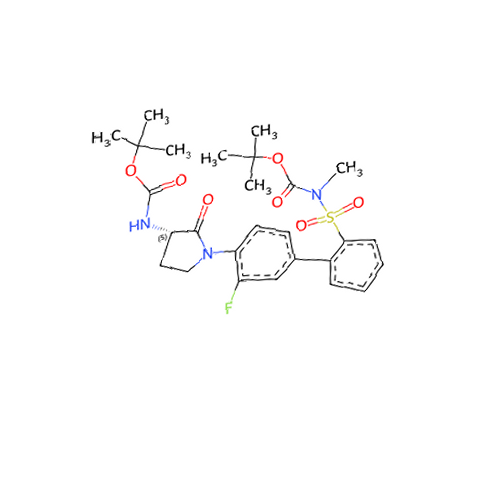 CN(C(=O)OC(C)(C)C)S(=O)(=O)c1ccccc1-c1ccc(N2CC[C@H](NC(=O)OC(C)(C)C)C2=O)c(F)c1